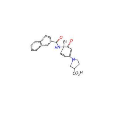 CCC1(NC(=O)c2ccc3ccccc3c2)C=CC(N2CCC(C(=O)O)C2)=CC1=O